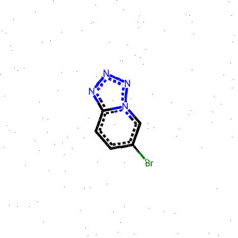 Brc1ccc2nnnn2c1